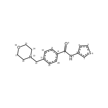 O=C(Nc1ccsc1)c1ccc(CN2CCOCC2)cc1